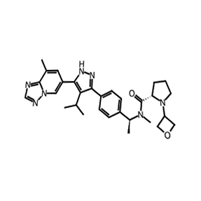 Cc1cc(-c2[nH]nc(-c3ccc([C@H](C)N(C)C(=O)[C@@H]4CCCN4C4COC4)cc3)c2C(C)C)cn2ncnc12